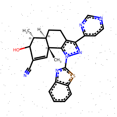 C[C@H]1C(O)C(C#N)=C[C@@]2(C)c3c(c(-c4ccncn4)nn3-c3nc4ccccc4s3)CC[C@H]12